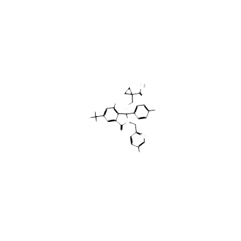 CC(C)(O)c1cc(F)c2c(c1)C(=O)N(Cc1ccc(Cl)cn1)[C@@]2(OCC1(C(N)=O)CC1)c1ccc(Cl)cc1